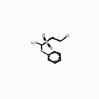 CC([N]c1ccccc1)S(=O)(=O)CCCl